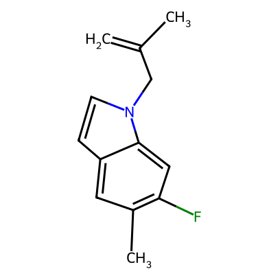 C=C(C)Cn1ccc2cc(C)c(F)cc21